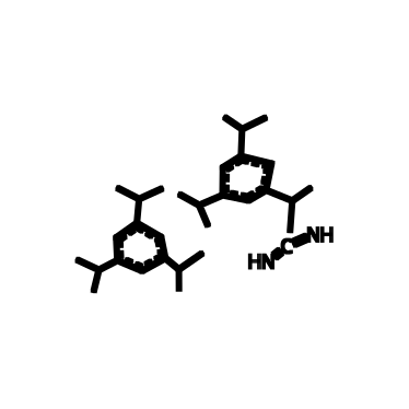 CC(C)c1cc(C(C)C)cc(C(C)C)c1.CC(C)c1cc(C(C)C)cc(C(C)C)c1.N=C=N